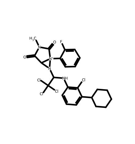 CN1C(=O)C2N(C(Nc3cccc(C4CCCCC4)c3Cl)C(Cl)(Cl)Cl)[N+]2(c2ccccc2F)C1=O